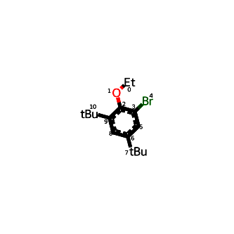 CCOc1c(Br)cc(C(C)(C)C)cc1C(C)(C)C